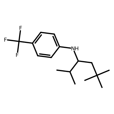 CC(C)C(CC(C)(C)C)Nc1ccc(C(F)(F)F)cc1